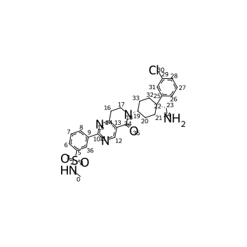 CNS(=O)(=O)c1cccc(-c2ncc3c(n2)CCN([C@H]2CC[C@](CN)(c4cccc(Cl)c4)CC2)C3=O)c1